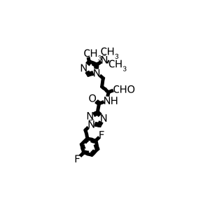 Cc1ncn(CCC(C=O)NC(=O)c2ncn(Cc3cc(F)ccc3F)n2)c1N(C)C